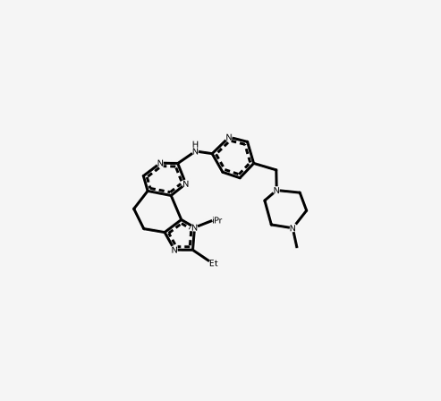 CCc1nc2c(n1C(C)C)-c1nc(Nc3ccc(CN4CCN(C)CC4)cn3)ncc1CC2